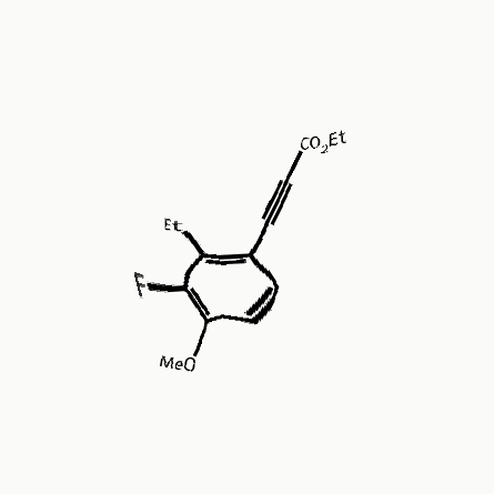 CCOC(=O)C#Cc1ccc(OC)c(F)c1CC